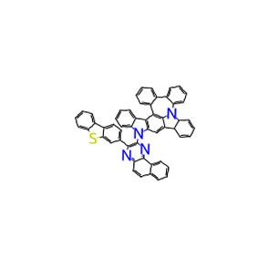 C1=CC2c3cc4c(c5c3N(c3ccccc3-c3ccccc3-5)C2C=C1)c1ccccc1n4-c1nc2c(ccc3ccccc32)nc1-c1ccc2c(c1)sc1ccccc12